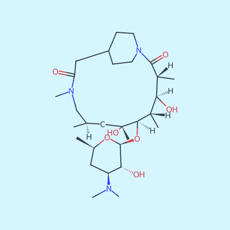 C[C@H]1CN(C)C(=O)CC2CCN(CC2)C(=O)[C@H](C)[C@@H](O)[C@H](C)[C@@H](O[C@@H]2O[C@H](C)C[C@H](N(C)C)[C@H]2O)[C@](C)(O)C1